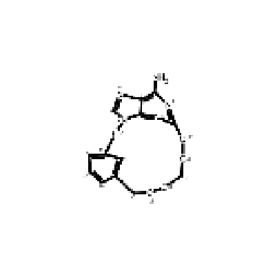 Nc1nc2nc3c1ncn3Cc1cccc(c1)CCCCCO2